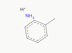 Cc1ccccc1.N.[H+]